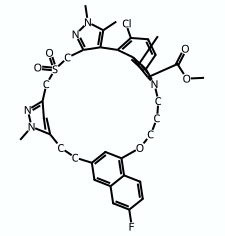 COC(=O)c1c(C)c2c3c(Cl)ccc2n1CCCOc1cc(cc2cc(F)ccc12)CCc1cc(nn1C)CS(=O)(=O)Cc1nn(C)c(C)c1-3